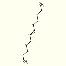 CC[CH]CC/C=C/CCCCC